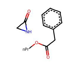 CCCOC(=O)Cc1ccccc1.O=C1CN1